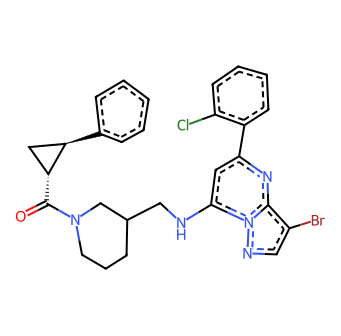 O=C([C@@H]1C[C@H]1c1ccccc1)N1CCCC(CNc2cc(-c3ccccc3Cl)nc3c(Br)cnn23)C1